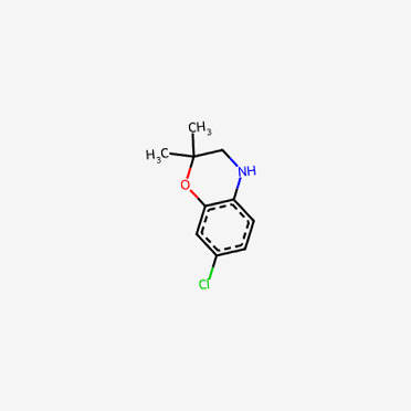 CC1(C)CNc2ccc(Cl)cc2O1